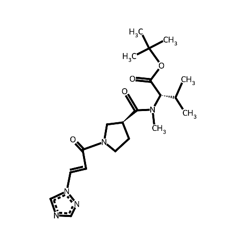 CC(C)[C@@H](C(=O)OC(C)(C)C)N(C)C(=O)[C@H]1CCN(C(=O)/C=C/n2cncn2)C1